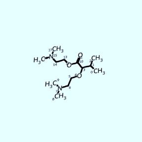 CC(C)C(OCCN(C)C)C(=O)OCCN(C)C